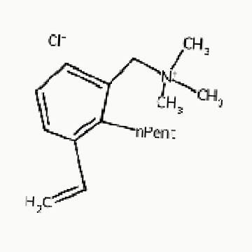 C=Cc1cccc(C[N+](C)(C)C)c1CCCCC.[Cl-]